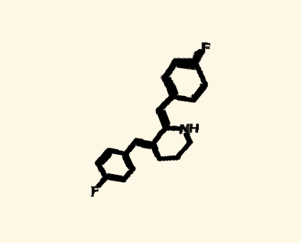 Fc1ccc(C=C2CCCNC2=Cc2ccc(F)cc2)cc1